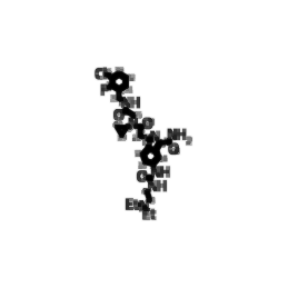 CCN(CC)CCNC(=O)Nc1ccc2c(c1)c(C(N)=O)nn2CC(=O)N(CC(=O)NCc1cccc(Cl)c1F)C1CC1